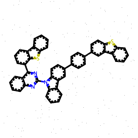 c1ccc2c(-c3cccc4c3sc3ccccc34)nc(-n3c4ccccc4c4cc(-c5ccc(-c6ccc7sc8ccccc8c7c6)cc5)ccc43)nc2c1